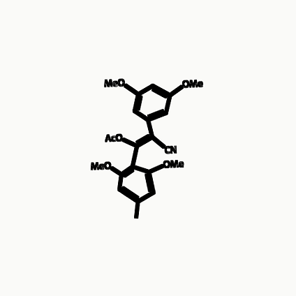 COc1cc(OC)cc(C(C#N)=C(OC(C)=O)c2c(OC)cc(C)cc2OC)c1